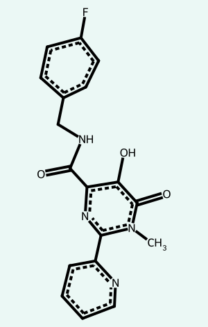 Cn1c(-c2ccccn2)nc(C(=O)NCc2ccc(F)cc2)c(O)c1=O